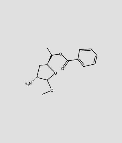 COC1O[C@H](C(C)OC(=O)c2ccccc2)C[P@@]1N